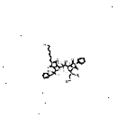 CCCCCCCCCCCCCCCCN1C(=O)C2C(C1=O)C(C(C)(C)C(C)C1OC(N(N)COCC)C3C(=O)N(c4ccccc4)C(=O)C13)OC2C(C)(C)Cc1ccccc1